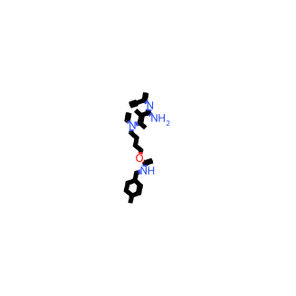 C#CC(=C)/N=C(N)\C(C)=C(/C)N(C=C)CCCCOC(=C)NCC1C=CC(C)CC1